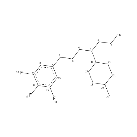 CCCC(CCCc1cc(F)c(F)c(F)c1)C1CCC(C)CC1